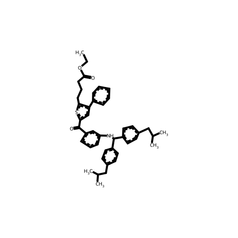 CCOC(=O)CCCc1sc(C(=O)c2cccc(NC(c3ccc(CC(C)C)cc3)c3ccc(CC(C)C)cc3)c2)cc1-c1ccccc1